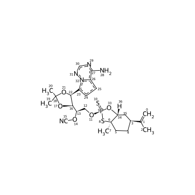 C=C(C)[C@H]1CC[C@@]2(C)S[P@@](=S)(OC[C@@H](OC#N)[C@H]3OC(C)(C)O[C@H]3c3ccc4c(N)ncnn34)O[C@@H]2C1